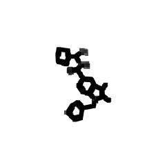 CCC(NC(=O)c1ccc2c(c1)c(C)c(C)n2Cc1cc[c]cc1)c1ccccc1